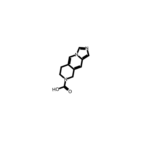 O=C(O)N1CCc2cn3cncc3cc2C1